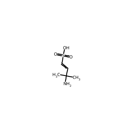 CC(C)(N)C=CS(=O)(=O)O